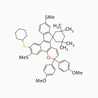 COc1ccc(C2(c3ccc(OC)cc3)C=Cc3c4c(c5cc(SC6CCCCC6)c(SC)cc5c3O2)-c2ccc(SC)cc2C42CC(C)(C)CC(C)(C)C2)cc1